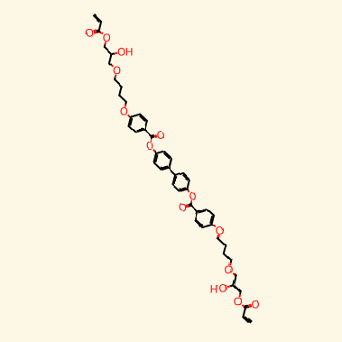 C=CC(=O)OCC(O)COCCCCOc1ccc(C(=O)Oc2ccc(-c3ccc(OC(=O)c4ccc(OCCCCOCC(O)COC(=O)C=C)cc4)cc3)cc2)cc1